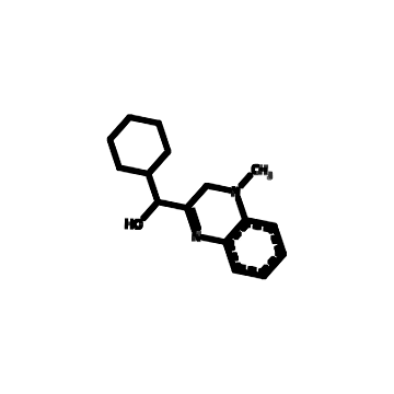 CN1CC(C(O)C2CCCCC2)=Nc2ccccc21